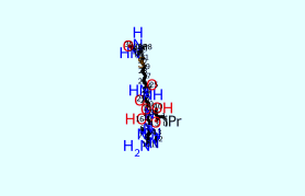 CC(C)CC1OC(n2cnc3c(N)ncnc32)C(O)N(OCC(=O)NNC(=O)CCCCSC[C@@H]2NC(=O)N[C@@H]2C)C1O